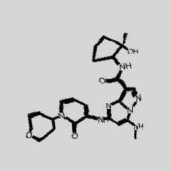 CNc1cc(Nc2cccn(C3CCOCC3)c2=O)nc2c(C(=O)NC3CCC[C@]3(C)O)cnn12